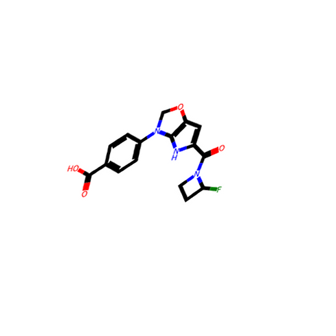 O=C(O)c1ccc(N2COc3cc(C(=O)N4CCC4F)[nH]c32)cc1